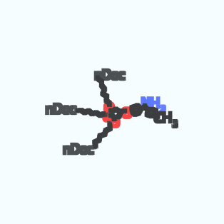 CCCCCCCCCCCCCCCCCCOC1CC(COc2ccc(C(N)c3ccc(C)cc3)cc2)CC(OCCCCCCCCCCCCCCCCCC)C1OCCCCCCCCCCCCCCCCCC